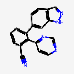 N#Cc1cccc(-c2ccc3cn[nH]c3c2)c1-c1ccncn1